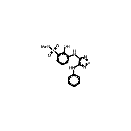 CNS(=O)(=O)c1cccc(Nc2nsnc2Nc2ccccc2)c1O